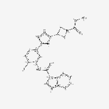 CC(C)(C)OC(=O)N1CC(c2nc(-c3ccc(F)c(NC(=O)c4cnc5ccccn45)c3)no2)C1